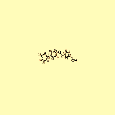 OCc1csc(COc2ccc(-c3ccccc3)cc2)n1